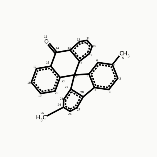 Cc1ccc2c(c1)C1(c3ccccc3C(=O)c3ccccc31)c1cc(C)ccc1-2